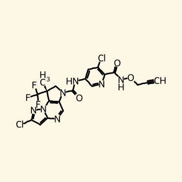 C#CCONC(=O)c1ncc(NC(=O)N2C[C@@](C)(C(F)(F)F)c3c2cnc2cc(Cl)nn32)cc1Cl